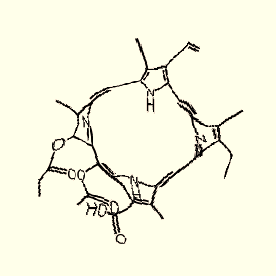 C=Cc1c(C)c2cc3nc(c(OC(C)=O)c4[nH]c(cc5nc(cc1[nH]2)C(C)=C5CC)c(C)c4C(=O)O)C(OC(=O)CC)C3C